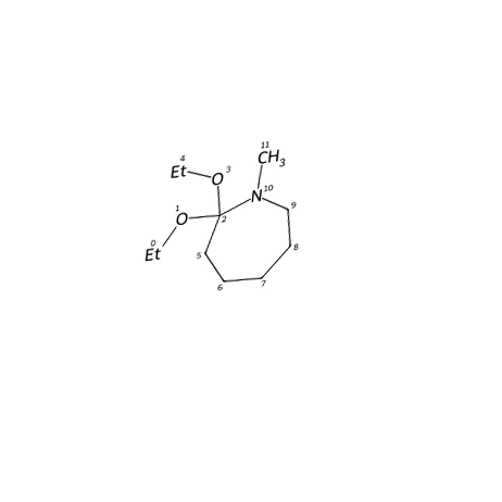 CCOC1(OCC)CCCCCN1C